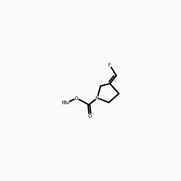 CC(C)(C)OC(=O)N1CC/C(=C/F)C1